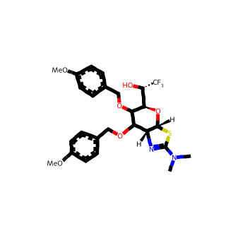 COc1ccc(COC2C(OCc3ccc(OC)cc3)[C@@H]([C@H](O)C(F)(F)F)O[C@@H]3SC(N(C)C)=N[C@H]23)cc1